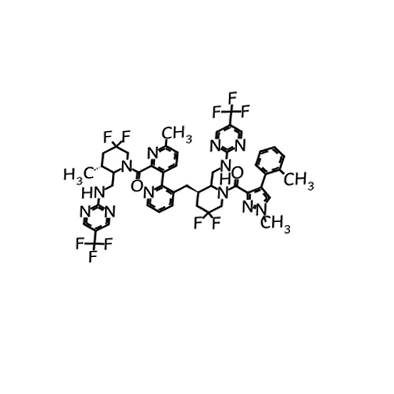 Cc1ccc(-c2ncccc2C[C@@H]2CC(F)(F)CN(C(=O)c3nn(C)cc3-c3ccccc3C)C2CNc2ncc(C(F)(F)F)cn2)c(C(=O)N2CC(F)(F)C[C@@H](C)C2CNc2ncc(C(F)(F)F)cn2)n1